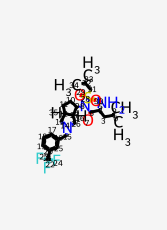 CC(C)C[C@H](N)C(=O)N([C@@H]1CC[C@H]2CN(Cc3cccc(C(F)(F)F)c3)C[C@H]21)S(=O)(=O)CC(C)C